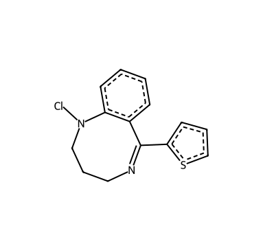 ClN1CCC/N=C(/c2cccs2)c2ccccc21